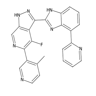 Cc1ccncc1-c1ncc2[nH]nc(-c3nc4c(-c5ccccn5)cccc4[nH]3)c2c1F